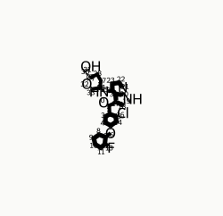 O=C(c1ccc(Oc2ccccc2F)cc1Cl)c1c[nH]c2nccc(N[C@@H]3CC[C@@H](CO)OC3)c12